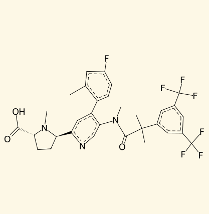 Cc1cc(F)ccc1-c1cc([C@H]2CC[C@H](C(=O)O)N2C)ncc1N(C)C(=O)C(C)(C)c1cc(C(F)(F)F)cc(C(F)(F)F)c1